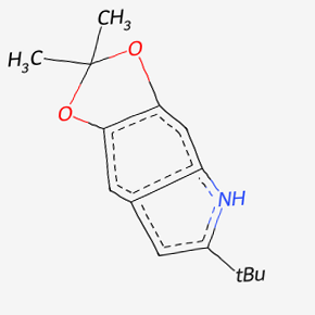 CC1(C)Oc2cc3cc(C(C)(C)C)[nH]c3cc2O1